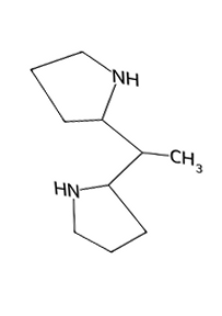 CC(C1CCCN1)C1CCCN1